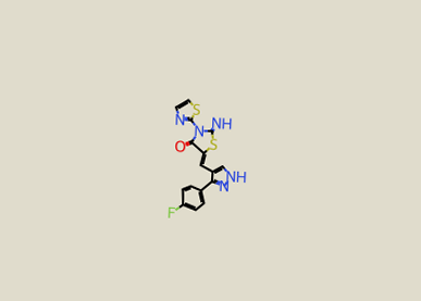 N=C1S/C(=C\c2c[nH]nc2-c2ccc(F)cc2)C(=O)N1c1nccs1